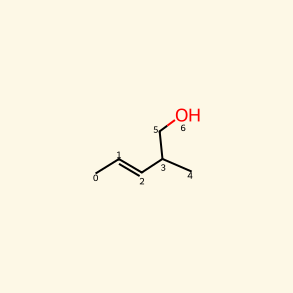 CC=CC(C)CO